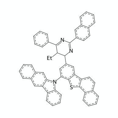 CCC1C(c2ccccc2)=NC(c2ccc3ccccc3c2)=NC1c1cc(-n2c3ccccc3c3cc4ccccc4cc32)c2sc3c4ccccc4ccc3c2c1